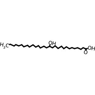 CCCCCCCCCCCCCCCC(O)CCCCCCCCCCCCC(=O)O